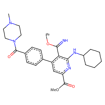 COC(=O)c1cc(-c2ccc(C(=O)N3CCN(C)CC3)cc2)c(C(=N)OC(C)C)c(NC2CCCCC2)n1